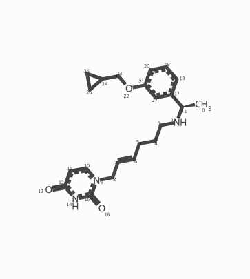 C[C@@H](NCCC/C=C/Cn1ccc(=O)[nH]c1=O)c1cccc(OCC2CC2)c1